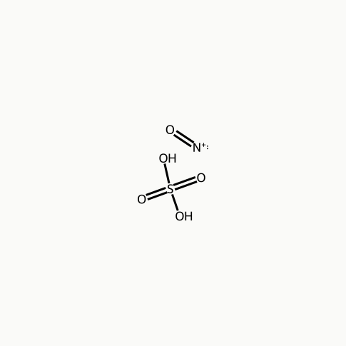 O=S(=O)(O)O.[N+]=O